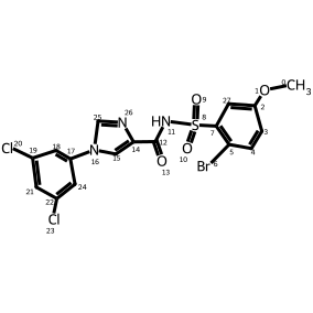 COc1ccc(Br)c(S(=O)(=O)NC(=O)c2cn(-c3cc(Cl)cc(Cl)c3)cn2)c1